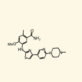 COc1cc(C)c(C(N)=O)cc1Nc1nc(-c2ccc(N3CCN(C)CC3)nc2)cs1